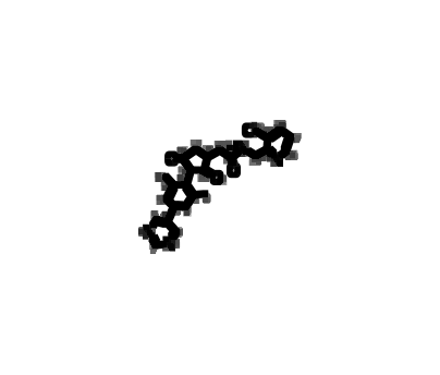 Cc1cc(-c2cncnc2)cc(C)c1C1C(=O)CC(CC(=O)NCc2ncccc2Cl)C1=O